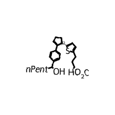 CCCCCC(O)c1ccc(C2=CCC[C@@H]2c2ccc(CCCC(=O)O)s2)cc1